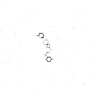 COc1cccc(C(C(=O)N(C)CC2CC3(CCN(c4ccc(C=O)c(Cl)n4)CC3)C2)C(F)(F)F)c1